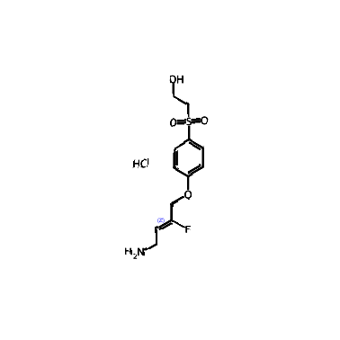 Cl.NC/C=C(\F)COc1ccc(S(=O)(=O)CCO)cc1